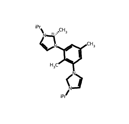 Cc1cc(N2C=CN(C(C)C)C2)c(C)c(N2C=CN(C(C)C)[C@@H]2C)c1